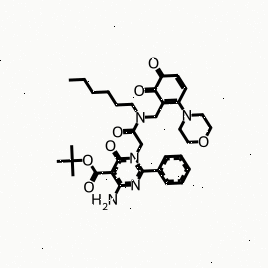 CCCCCCN(CC1=C(N2CCOCC2)C=CC(=O)C1=O)C(=O)Cn1c(-c2ccccc2)nc(N)c(C(=O)OC(C)(C)C)c1=O